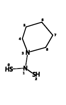 SN(S)N1CCCCC1